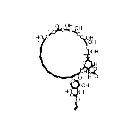 C=CCOC(=O)N[C@@H]1[C@H](O)[C@H](O[C@H]2/C=C/C=C/C=C/C=C/C=C/C=C/C=C/[C@H](C)[C@@H](O)C[C@H](C)OC(=O)C[C@H](O)C[C@H](O)CC[C@@H](O)[C@H](O)C[C@H](O)C[C@]3(OC)C[C@@H]4OC(=O)N[C@H]4[C@H](C2)O3)OC[C@H]1O